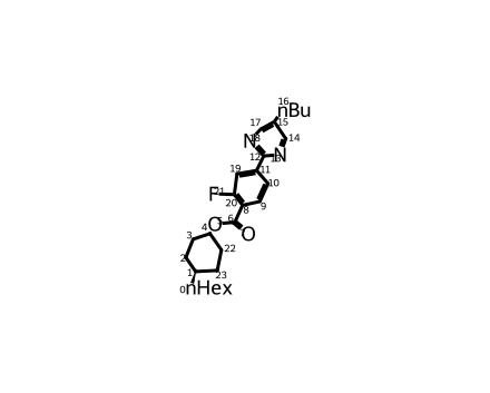 CCCCCC[C@H]1CC[C@H](OC(=O)c2ccc(-c3ncc(CCCC)cn3)cc2F)CC1